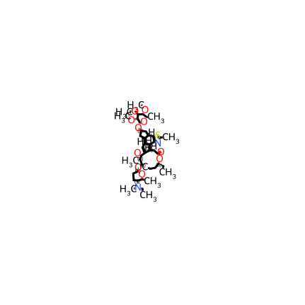 CC[C@H]1CCC[C@H](O[C@H]2CC[C@H](N(C)CC)C(C)O2)[C@@H](C)C(=O)C2=C[C@H]3[C@@H]4C[C@H](OC5OC(C)C(OC)C(OC)C5OC)C[C@H]4c4sc(C)nc4[C@H]3[C@@H]2CC(=O)O1